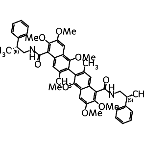 COc1cc2c(OC)c(-c3c(C)cc4c(C(=O)NC[C@H](C)c5ccccc5)c(OC)c(OC)cc4c3OC)c(C)cc2c(C(=O)NC[C@@H](C)c2ccccc2)c1OC